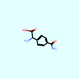 NC(=O)c1ccc([C@@H](N)C(=O)O)cc1